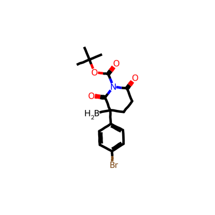 BC1(c2ccc(Br)cc2)CCC(=O)N(C(=O)OC(C)(C)C)C1=O